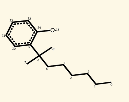 CCCCCCC(C)(C)c1ccccc1[O]